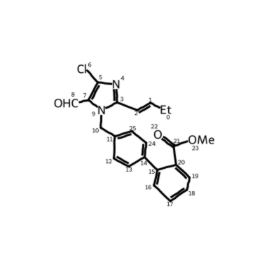 CCC=Cc1nc(Cl)c(C=O)n1Cc1ccc(-c2ccccc2C(=O)OC)cc1